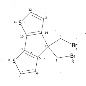 BrCC1(CBr)c2ccsc2-c2sccc21